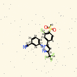 CS(=O)(=O)c1ccc(-c2cc(C(F)(F)F)nn2-c2cccc(C#N)c2)cc1F